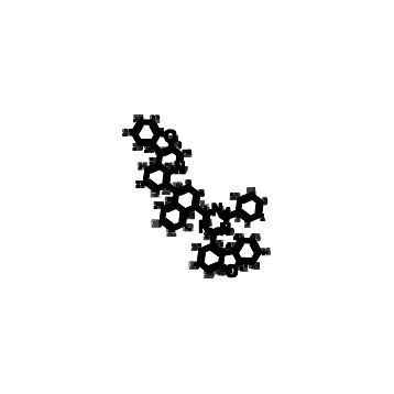 c1ccc(-c2nc(-c3ccc(-c4cccc5c4ncc4oc6ccccc6c45)c4ccccc34)nc(-c3cccc4oc5ccccc5c34)n2)cc1